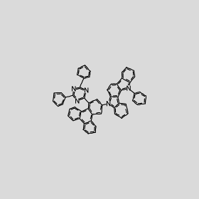 c1ccc(-c2nc(-c3ccccc3)nc(-c3cc(-n4c5ccccc5c5c4ccc4c6ccccc6n(-c6ccccc6)c45)cc4c5ccccc5c5ccccc5c34)n2)cc1